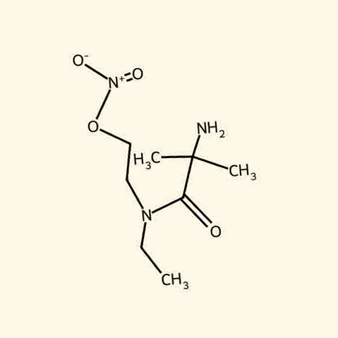 CCN(CCO[N+](=O)[O-])C(=O)C(C)(C)N